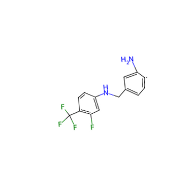 Nc1[c]ccc(CNc2ccc(C(F)(F)F)c(F)c2)c1